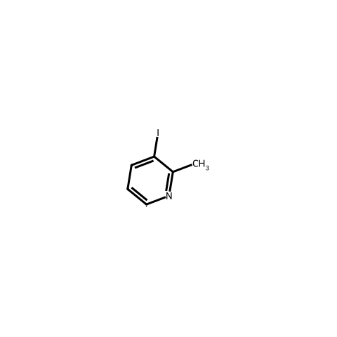 Cc1n[c]ccc1I